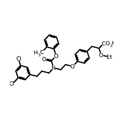 CCOC(Cc1ccc(OCCN(CCCc2cc(Cl)cc(Cl)c2)C(=O)Oc2ccccc2C)cc1)C(=O)O